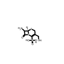 NC1C(=O)N2C(P(=O)(O)O)=C(CO)CS[C@H]12